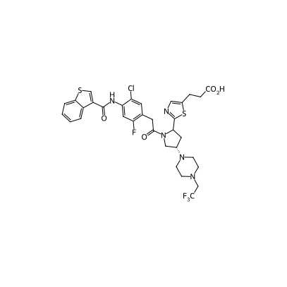 O=C(O)CCc1cnc(C2C[C@H](N3CCN(CC(F)(F)F)CC3)CN2C(=O)Cc2cc(Cl)c(NC(=O)c3csc4ccccc34)cc2F)s1